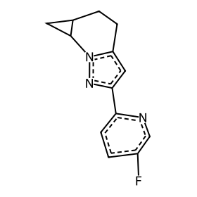 Fc1ccc(-c2cc3n(n2)C2CC2CC3)nc1